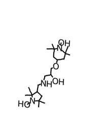 CC1(C)CC(OCC(O)CNCC2CC(C)(C)N(O)C2(C)C)CC(C)(C)N1O